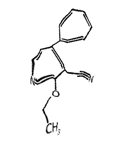 CCOc1nccc(-c2ccccc2)c1C#N